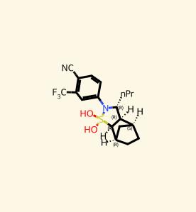 CCC[C@@H]1[C@H]2[C@H]3CC[C@H](C3)[C@H]2S(O)(O)N1c1ccc(C#N)c(C(F)(F)F)c1